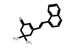 CC1(C)CC(=O)C=C(C=Cc2cccc3ccccc23)C1